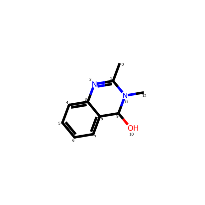 CC1=Nc2ccccc2C(O)N1C